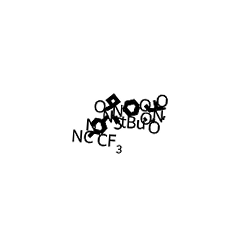 CN(C(=O)OC(C)(C)C)C1(COc2ccc(N3C(=S)N(c4cnc(C#N)c(C(F)(F)F)c4)C(=O)C34CCC4)cc2)COC1